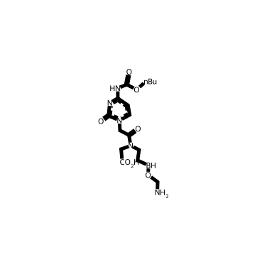 CCCCOC(=O)Nc1ccn(CC(=O)N(CCBOCN)CC(=O)O)c(=O)n1